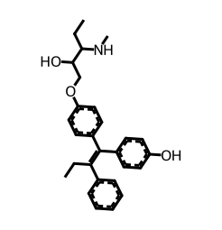 CCC(=C(c1ccc(O)cc1)c1ccc(OCC(O)C(CC)NC)cc1)c1ccccc1